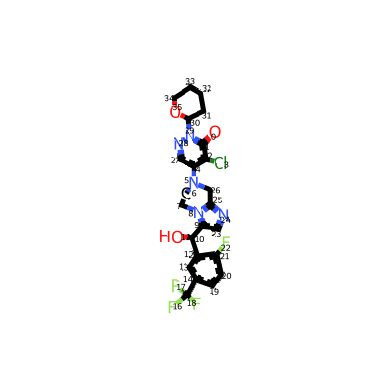 O=c1c(Cl)c(N2CCn3c(C(O)c4cc(C(F)(F)F)ccc4F)cnc3C2)cnn1C1CCCCO1